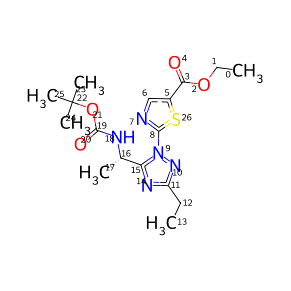 CCOC(=O)c1cnc(-n2nc(CC)nc2[C@H](C)NC(=O)OC(C)(C)C)s1